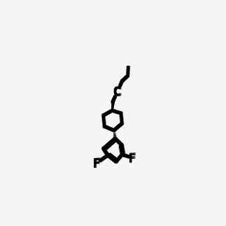 CCCCC[C@H]1CC[C@H](c2cc(F)cc(F)c2)CC1